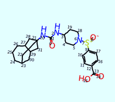 O=C(NC1CCN([S+]([O-])c2ccc(C(=O)O)cc2)CC1)NC12CC3CCCC(C1)C(C3)C2